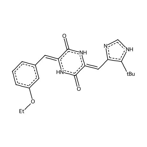 CCOc1cccc(/C=c2\[nH]c(=O)/c(=C/c3nc[nH]c3C(C)(C)C)[nH]c2=O)c1